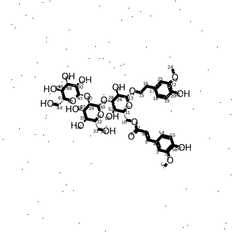 COc1cc(/C=C/C(=O)OC[C@H]2O[C@@H](OCCc3ccc(O)c(OC)c3)[C@H](O)[C@@H](O[C@@H]3O[C@H](CO)[C@@H](O)[C@H](O)[C@H]3O[C@@H]3O[C@H](CO)[C@@H](O)[C@H](O)[C@H]3O)[C@@H]2O)ccc1O